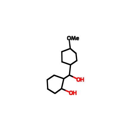 COC1CCC(C(O)C2CCCCC2O)CC1